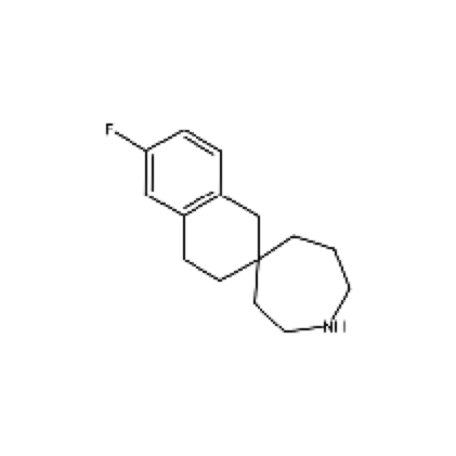 Fc1ccc2c(c1)CCC1(CCCNCC1)C2